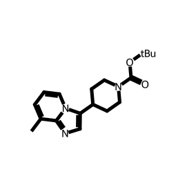 Cc1cccn2c(C3CCN(C(=O)OC(C)(C)C)CC3)cnc12